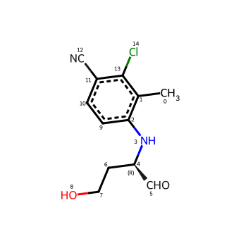 Cc1c(N[C@@H](C=O)CCO)ccc(C#N)c1Cl